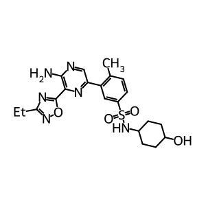 CCc1noc(-c2nc(-c3cc(S(=O)(=O)NC4CCC(O)CC4)ccc3C)cnc2N)n1